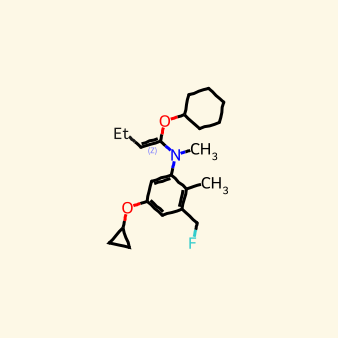 CC/C=C(\OC1CCCCC1)N(C)c1cc(OC2CC2)cc(CF)c1C